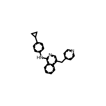 c1ccc2c(Nc3ccc(C4CC4)cc3)ncc(Cc3ccncc3)c2c1